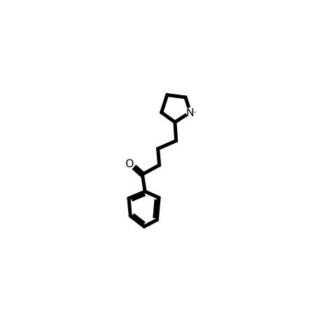 O=C(CCCC1CCC[N]1)c1ccccc1